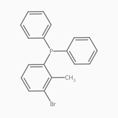 Cc1c(Br)cccc1P(c1ccccc1)c1ccccc1